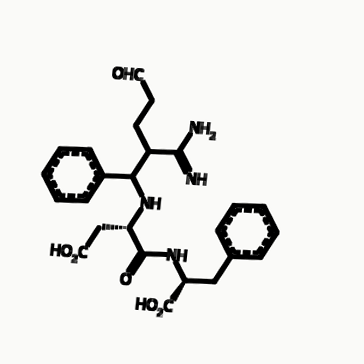 N=C(N)C(CCC=O)C(N[C@@H](CC(=O)O)C(=O)N[C@@H](Cc1ccccc1)C(=O)O)c1ccccc1